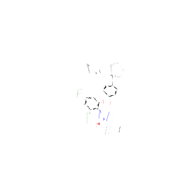 CC(C)(C)C(=O)Nc1c(F)cc(F)cc1Oc1ccc(C2(C#N)CCCC2)cc1